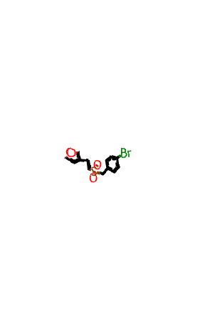 O=S(=O)(C=Cc1ccoc1)Cc1ccc(Br)cc1